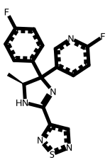 C[C@@H]1NC(c2cnsn2)=NC1(c1ccc(F)cc1)c1ccc(F)nc1